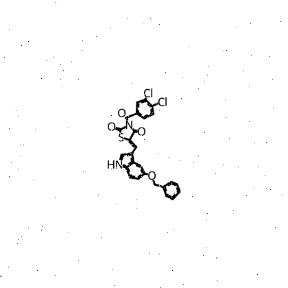 O=C1SC(=Cc2c[nH]c3ccc(OCc4ccccc4)cc23)C(=O)N1C(=O)c1ccc(Cl)c(Cl)c1